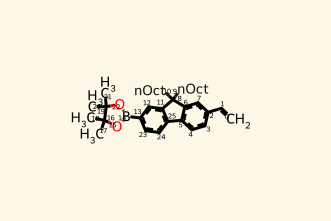 C=Cc1ccc2c(c1)C(CCCCCCCC)(CCCCCCCC)c1cc(B3OC(C)(C)C(C)(C)O3)ccc1-2